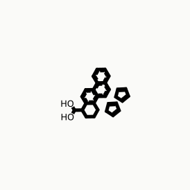 C1=CCC=C1.C1=CCC=C1.OC(O)C1CCCc2c1ccc1c2ccc2ccccc21